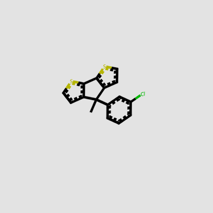 CC1(c2cccc(Cl)c2)c2ccsc2-c2sccc21